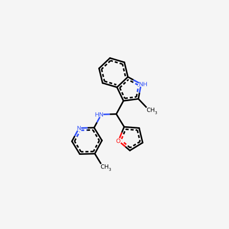 Cc1ccnc(NC(c2ccco2)c2c(C)[nH]c3ccccc23)c1